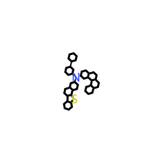 c1ccc(-c2cccc(N(c3ccc4c(ccc5c6ccccc6sc45)c3)c3ccc4ccc5ccc6ccccc6c5c4c3)c2)cc1